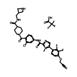 Cn1c(-c2ccc(OCC#N)c(F)c2F)cnc1C(=O)Nc1ccc(C(=O)N2CCC(C(=O)NCC3CNC3)CC2)c(Cl)c1.O=C(O)C(F)(F)F